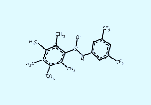 Cc1c(C)c(C)c([S+]([O-])Nc2cc(C(F)(F)F)cc(C(F)(F)F)c2)c(C)c1C